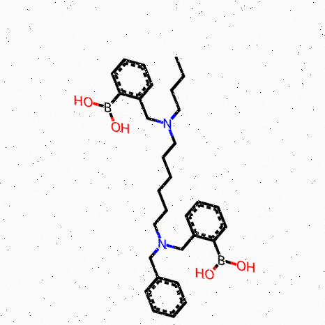 CCCCN(CCCCCCN(Cc1ccccc1)Cc1ccccc1B(O)O)Cc1ccccc1B(O)O